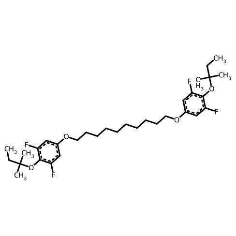 CCC(C)(C)Oc1c(F)cc(OCCCCCCCCCCOc2cc(F)c(OC(C)(C)CC)c(F)c2)cc1F